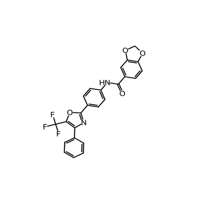 O=C(Nc1ccc(-c2nc(-c3ccccc3)c(C(F)(F)F)o2)cc1)c1ccc2c(c1)OCO2